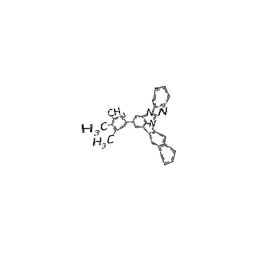 Cc1cc(-c2cc3c4cc5ccccc5cc4n4c3c(c2)n2c3ccccc3nc24)cc(C)c1C